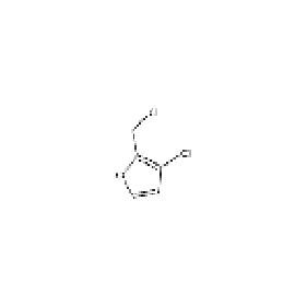 ClCc1occc1Cl